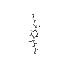 C=CCCN(C)c1ccc(N(C)CCC=C)cc1